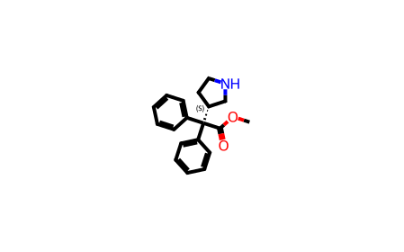 COC(=O)C(c1ccccc1)(c1ccccc1)[C@@H]1CCNC1